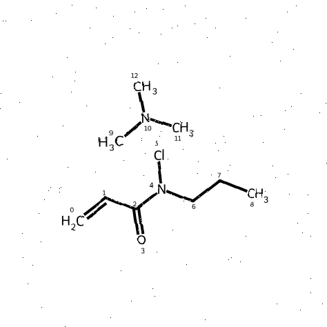 C=CC(=O)N(Cl)CCC.CN(C)C